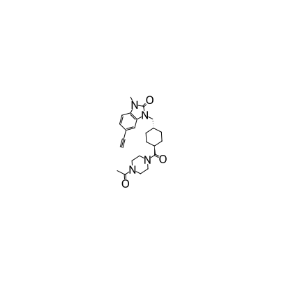 C#Cc1ccc2c(c1)n(C[C@H]1CC[C@H](C(=O)N3CCN(C(C)=O)CC3)CC1)c(=O)n2C